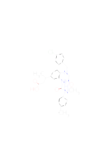 COCCN(Cc1ccc(Cl)cc1)c1ccc(C(C)CC(=O)O)cc1NC(=O)Nc1ccc(C)cc1